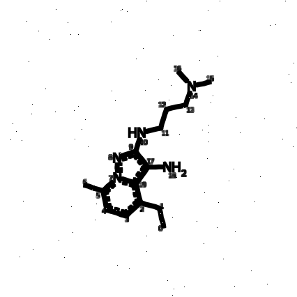 CCc1ccc(C)n2nc(NCCCN(C)C)c(N)c12